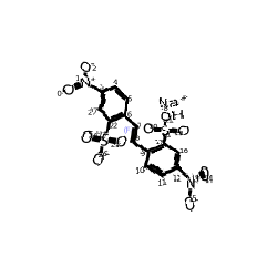 O=[N+]([O-])c1ccc(/C=C/c2ccc([N+](=O)[O-])cc2S(=O)(=O)O)c(S(=O)(=O)[O-])c1.[Na+]